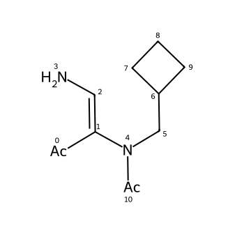 CC(=O)C(=CN)N(CC1CCC1)C(C)=O